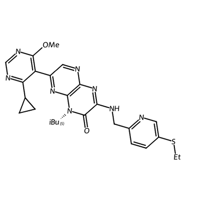 CCSc1ccc(CNc2nc3ncc(-c4c(OC)ncnc4C4CC4)nc3n([C@@H](C)CC)c2=O)nc1